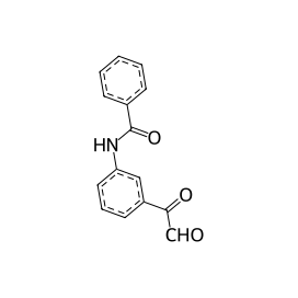 O=CC(=O)c1cccc(NC(=O)c2ccccc2)c1